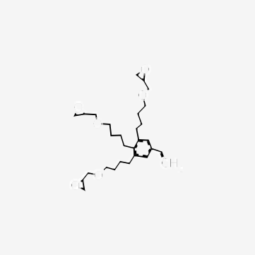 C=Cc1cc(CCCCOCC2CO2)c(CCCCOCC2CO2)c(CCCCOCC2CO2)c1